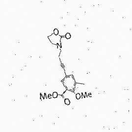 COC(=O)c1cc(C#CCCN2CCOC2=O)cc(C)c1OC